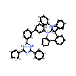 C1=CC2=C(CC1)c1ccccc1-c1c(n(-c3ccccc3)c3ccccc13)N2c1cccc(-c2cccc(C3NC(c4ccccc4)=NC(c4ccccc4)N3)c2)c1